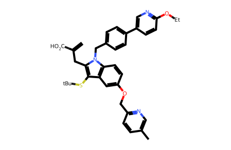 C=C(Cc1c(SC(C)(C)C)c2cc(OCc3ccc(C)cn3)ccc2n1Cc1ccc(-c2ccc(OCC)nc2)cc1)C(=O)O